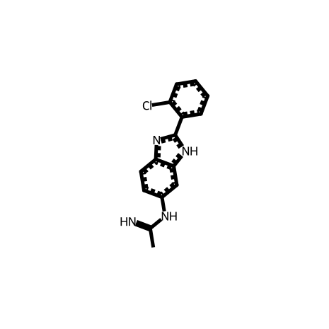 CC(=N)Nc1ccc2nc(-c3ccccc3Cl)[nH]c2c1